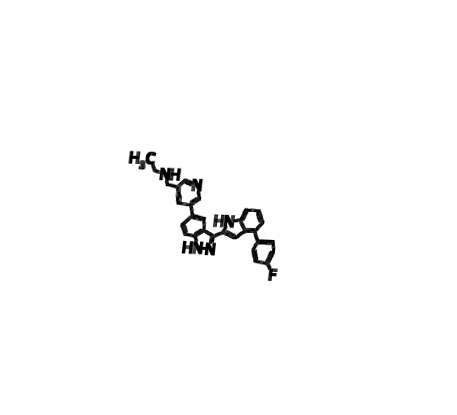 CCNCc1cncc(-c2ccc3[nH]nc(-c4cc5c(-c6ccc(F)cc6)cccc5[nH]4)c3c2)c1